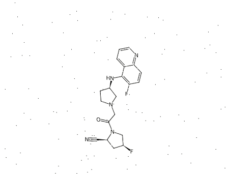 N#C[C@@H]1C[C@H](F)CN1C(=O)CN1CC[C@@H](Nc2c(F)ccc3ncccc23)C1